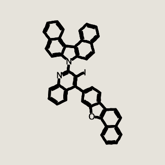 Ic1c(-n2c3ccc4ccccc4c3c3c4ccccc4ccc32)nc2ccccc2c1-c1ccc2c(c1)oc1c3ccccc3ccc21